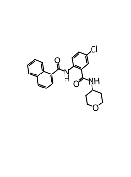 O=C(NC1CCOCC1)c1cc(Cl)ccc1NC(=O)c1cccc2ccccc12